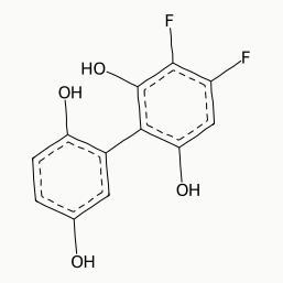 Oc1ccc(O)c(-c2c(O)cc(F)c(F)c2O)c1